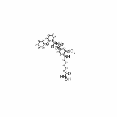 O=C(CCCCCNc1ccc(S(=O)(=O)NC(=O)c2ccccc2Oc2ccccc2)cc1[N+](=O)[O-])NO